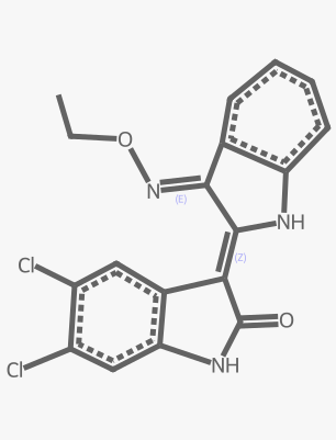 CCO/N=C1/C(=C2/C(=O)Nc3cc(Cl)c(Cl)cc32)Nc2ccccc21